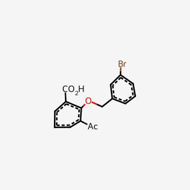 CC(=O)c1cccc(C(=O)O)c1OCc1cccc(Br)c1